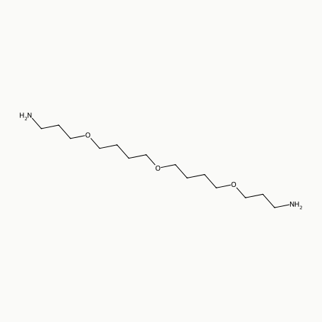 NCCCOCCCCOCCCCOCCCN